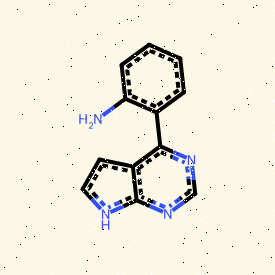 Nc1ccccc1-c1ncnc2[nH]ccc12